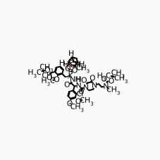 COc1ccc(C(NC(=O)N2CCN(CCN(C)C(=O)OC(C)(C)C)C(=O)C2=O)C(=O)N[C@@H](Cc2cccc(C(=O)OC(C)(C)C)c2OC)B2O[C@@H]3C[C@@H]4C[C@@H](C4(C)C)[C@]3(C)O2)c(Cl)c1OC